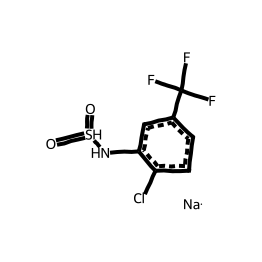 O=[SH](=O)Nc1cc(C(F)(F)F)ccc1Cl.[Na]